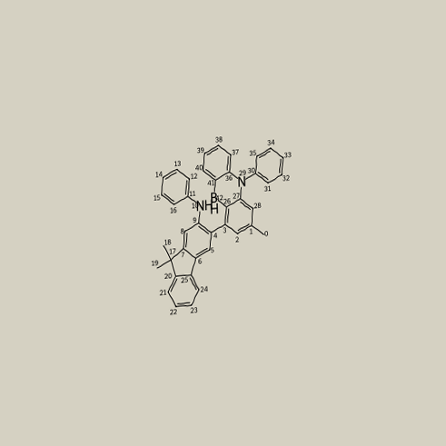 Cc1cc(-c2cc3c(cc2Nc2ccccc2)C(C)(C)c2ccccc2-3)c2c(c1)N(c1ccccc1)c1ccccc1B2